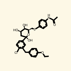 CCOc1ccc(Cc2cc([C@]3(O)C[C@@H](O)[C@@H](O)[C@@H](CSc4ccc(NC(C)=O)cc4)O3)ccc2Cl)cc1